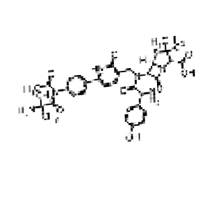 CC(=O)N(C(=O)C(C)(C)N)c1ccc(-c2ccc(CN(C(=O)C(N)c3ccc(O)cc3)[C@@H]3C(=O)N4[C@@H]3SC(C)(C)[C@@H]4C(=O)O)c(=O)[nH]2)cc1